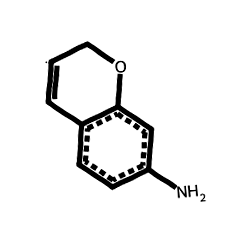 Nc1ccc2c(c1)OC[C]=C2